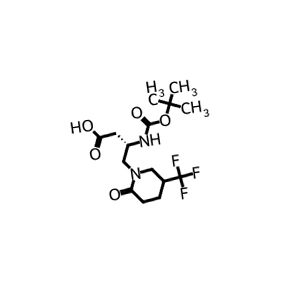 CC(C)(C)OC(=O)N[C@@H](CC(=O)O)CN1CC(C(F)(F)F)CCC1=O